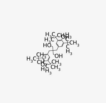 CC(C)(C)c1cc(CC(CO)(CO)Cc2cc(C(C)(C)C)c(O)c(C(C)(C)C)c2)cc(C(C)(C)C)c1O